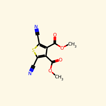 COC(=O)c1c(C#N)sc(C#N)c1C(=O)OC